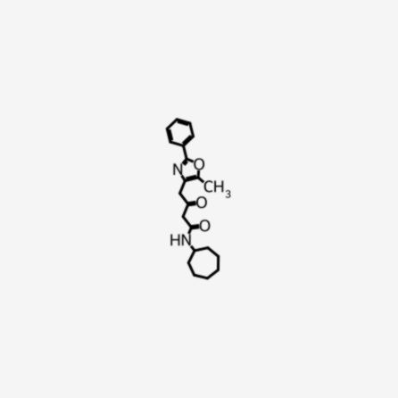 Cc1oc(-c2ccccc2)nc1CC(=O)CC(=O)NC1CCCCCC1